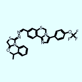 CC(C)c1ccccc1N1C(=O)CS/C1=N\N=C/c1ccc2c(c1)SCn1c(-c3ccc(OC(F)(F)F)cc3)cnc1-2